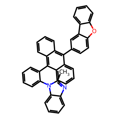 Cc1nc2ccccc2n1-c1ccccc1-c1c2ccccc2c(-c2ccc3oc4ccccc4c3c2)c2ccccc12